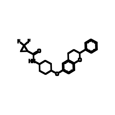 O=C(NC1CCC(Oc2ccc3c(c2)CCC(c2ccccc2)O3)CC1)C1CC1(F)F